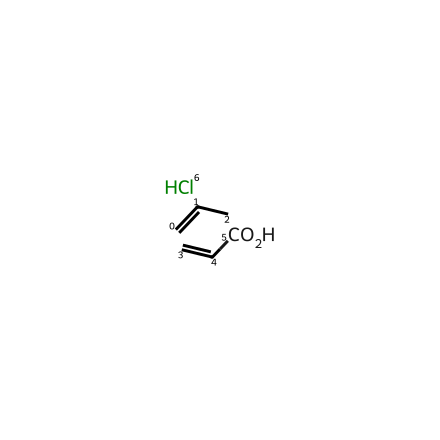 C=CC.C=CC(=O)O.Cl